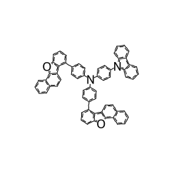 c1ccc2c(c1)ccc1c2oc2cccc(-c3ccc(N(c4ccc(-c5cccc6oc7c8ccccc8ccc7c56)cc4)c4ccc(-n5c6ccccc6c6ccccc65)cc4)cc3)c21